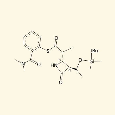 CC(C(=O)Sc1ccccc1C(=O)N(C)C)[C@H]1NC(=O)[C@@H]1C(C)O[Si](C)(C)C(C)(C)C